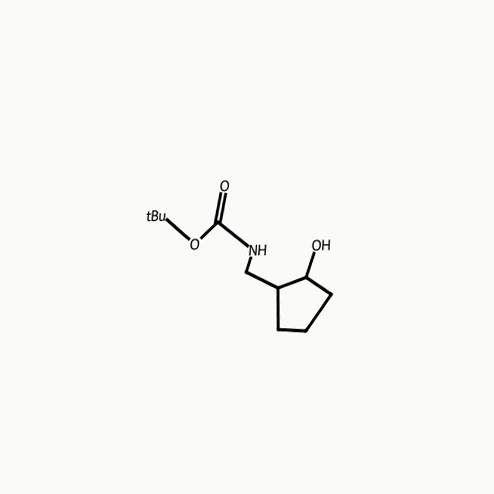 CC(C)(C)OC(=O)NCC1CCCC1O